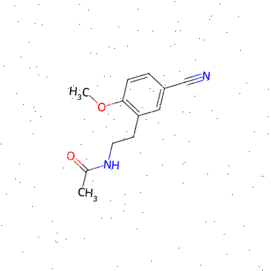 COc1ccc(C#N)cc1CCNC(C)=O